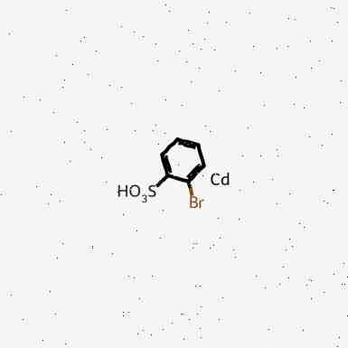 O=S(=O)(O)c1ccccc1Br.[Cd]